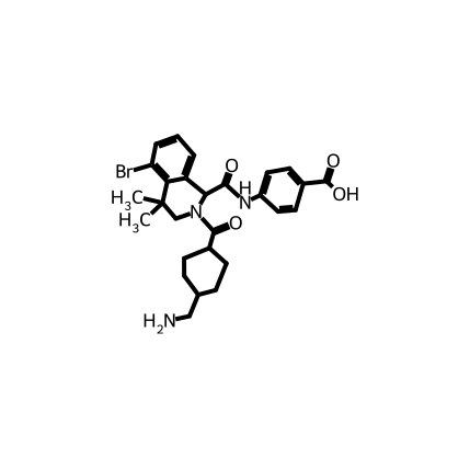 CC1(C)CN(C(=O)C2CCC(CN)CC2)C(C(=O)Nc2ccc(C(=O)O)cc2)c2cccc(Br)c21